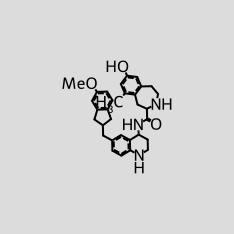 COc1ccc2c(c1)CC(Cc1ccc3c(c1)C(NC(=O)C1Cc4c(C)cc(O)cc4CCN1)CCN3)C2